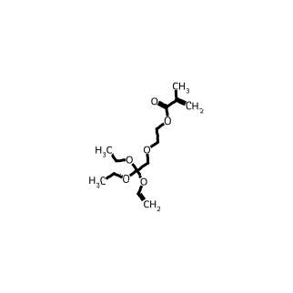 C=COC(COCCOC(=O)C(=C)C)(OCC)OCC